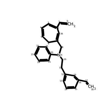 C=CC1=CC=CCC(CN(CCc2cccc(C=C)c2)c2ccccc2)=C1